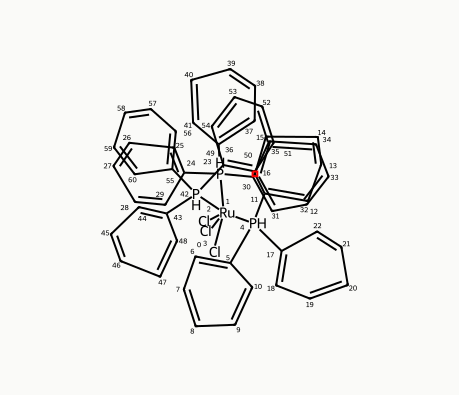 [Cl][Ru]([Cl])([Cl])([PH](c1ccccc1)(c1ccccc1)c1ccccc1)([PH](c1ccccc1)(c1ccccc1)c1ccccc1)[PH](c1ccccc1)(c1ccccc1)c1ccccc1